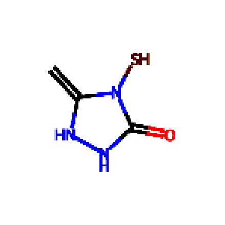 C=C1NNC(=O)N1S